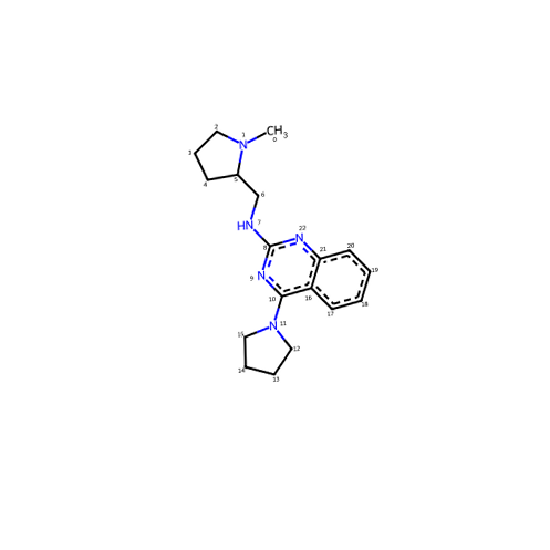 CN1CCCC1CNc1nc(N2CCCC2)c2ccccc2n1